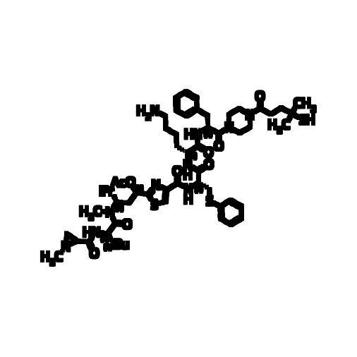 CC[C@H](C)[C@H](NC(=O)C1CN1C)C(=O)N(C)[C@H](C[C@@H](OC(C)=O)c1nc(C(=O)N[C@@H](CSc2ccccc2)C(=O)N[C@H](CCCCN)C(=O)N[C@@H](Cc2ccccc2)C(=O)N2CCN(C(=O)CCC(C)(C)S)CC2)cs1)C(C)C